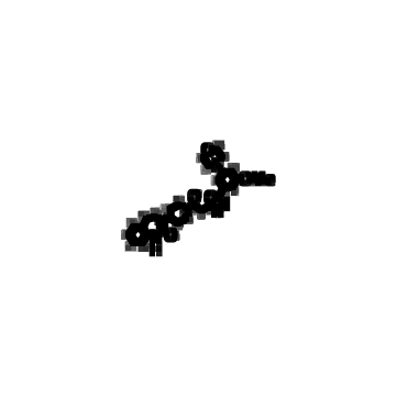 COc1cc(-c2nnc(CC(=O)N3CCC(N4CCc5ccccc5NC4=O)CC3)o2)cc(N2CCOCC2)c1